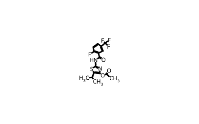 CC(=O)Oc1nc(NC(=O)c2cc(C(F)(F)F)ccc2F)sc1C(C)C